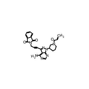 C=CC(=O)N1CCCC(n2nc(C#CCN3C(=O)c4ccccc4C3=O)c3c(N)ncnc32)C1